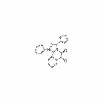 O=C1C(=O)c2c(-c3ccccc3)nn(-c3ccccc3)c2-c2ccccc21